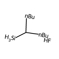 CCCCC([SiH3])CCCC.F